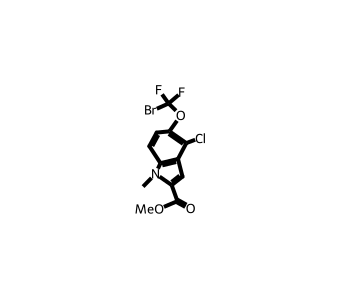 COC(=O)c1cc2c(Cl)c(OC(F)(F)Br)ccc2n1C